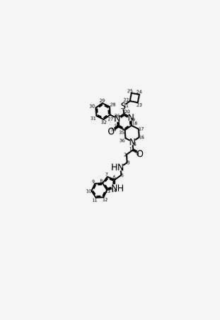 O=C(CCNCc1cc2ccccc2[nH]1)N1CCc2nc(SC3CCC3)n(-c3ccccc3)c(=O)c2C1